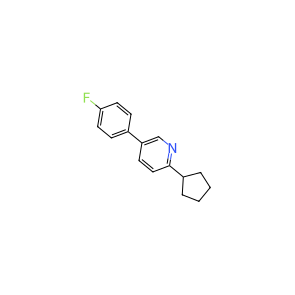 Fc1ccc(-c2ccc(C3CCCC3)nc2)cc1